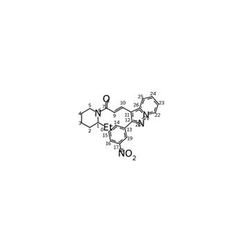 CCC1CCCCN1C(=O)C=Cc1c(-c2cccc([N+](=O)[O-])c2)nn2ccccc12